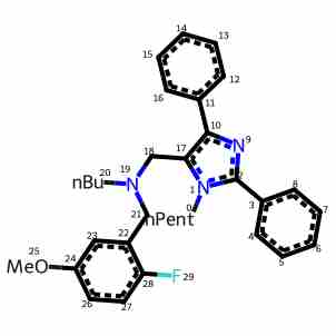 CCCCCn1c(-c2ccccc2)nc(-c2ccccc2)c1CN(CCCC)Cc1cc(OC)ccc1F